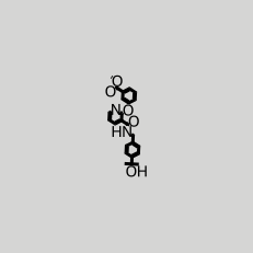 COC(=O)c1cccc(Oc2ncccc2C(=O)NCc2ccc(C(C)(C)O)cc2)c1